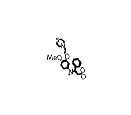 COC1=C(OCCN2CCSCC2)C=C(N(C)c2cc(=O)oc3ccccc23)CC1